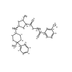 CC(C)C1C[C@H](NC2CCC(O)(c3ccccn3)CC2)CN1C(=O)CNC(=O)c1cccc(C(F)(F)F)c1